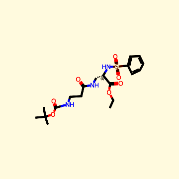 CCOC(=O)[C@H](CNC(=O)CCNC(=O)OC(C)(C)C)NS(=O)(=O)c1ccccc1